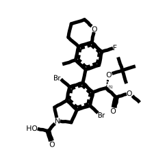 COC(=O)[C@@H](OC(C)(C)C)c1c(Br)c2c(c(Br)c1-c1cc(F)c3c(c1C)CCCO3)CN(C(=O)O)C2